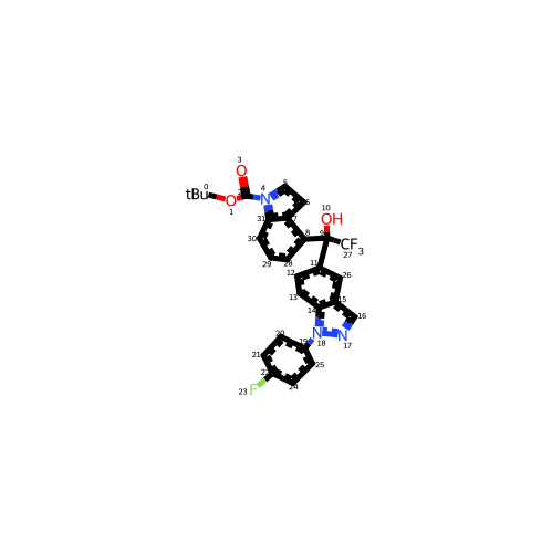 CC(C)(C)OC(=O)n1ccc2c(C(O)(c3ccc4c(cnn4-c4ccc(F)cc4)c3)C(F)(F)F)cccc21